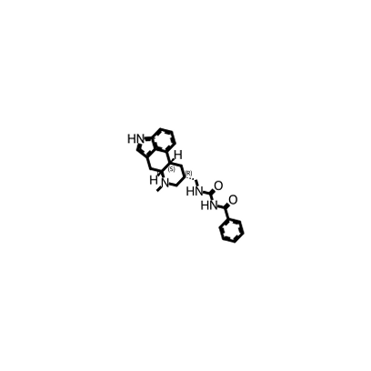 CN1C[C@@H](CNC(=O)NC(=O)c2ccccc2)C[C@H]2c3cccc4[nH]cc(c34)C[C@H]21